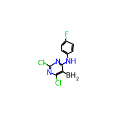 Bc1c(Cl)nc(Cl)nc1Nc1ccc(F)cc1